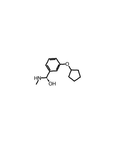 CN[C@H](O)c1cccc(OC2CCCC2)c1